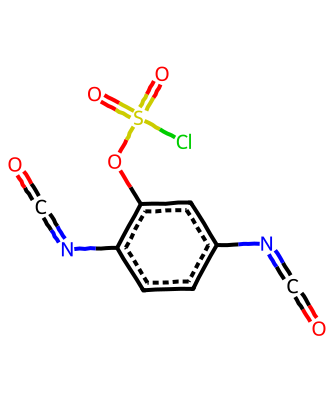 O=C=Nc1ccc(N=C=O)c(OS(=O)(=O)Cl)c1